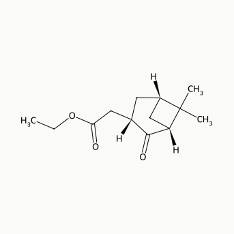 CCOC(=O)C[C@@H]1C[C@H]2C[C@@H](C1=O)C2(C)C